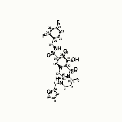 C[C@H]1CCN(Cc2ccco2)[C@H]2Cn3cc(C(=O)NCc4ccc(F)cc4F)c(=O)c(O)c3C(=O)N21